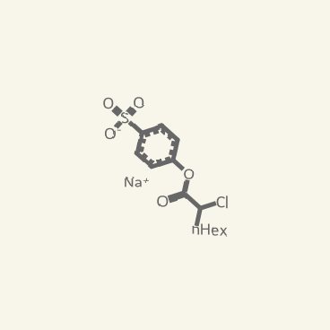 CCCCCCC(Cl)C(=O)Oc1ccc(S(=O)(=O)[O-])cc1.[Na+]